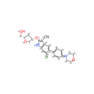 N#Cc1c(O[C@@H]2CO[C@H](CO)C2)[nH]c2cc(Cl)c(-c3ccc(N4CCOCC4)cc3)cc12